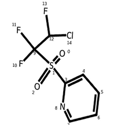 O=S(=O)(c1ccccn1)C(F)(F)C(F)Cl